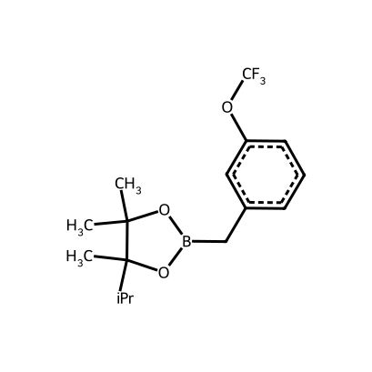 CC(C)C1(C)OB(Cc2cccc(OC(F)(F)F)c2)OC1(C)C